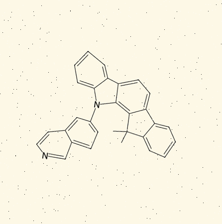 CC1(C)c2ccccc2-c2ccc3c4ccccc4n(-c4ccc5cnccc5c4)c3c21